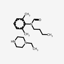 CCCCN(C=O)c1c(C)cccc1C.CCN1CCNCC1